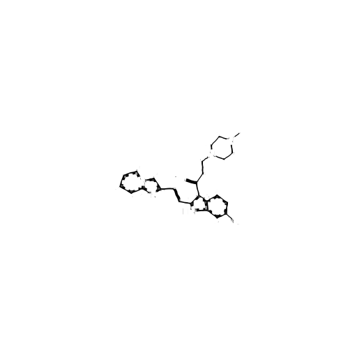 CN1CCN(CCC(=O)c2c(/C=C/c3cn4ccccc4n3)[nH]c3cc(Br)ccc23)CC1